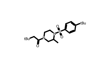 CC1CN(C(=O)CC(C)(C)C)CCN1S(=O)(=O)c1ccc(C(C)(C)C)cc1